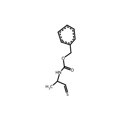 CC(C=S)NC(=O)OCc1ccccc1